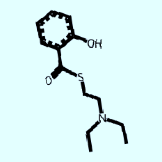 CCN(CC)CCSC(=O)c1ccccc1O